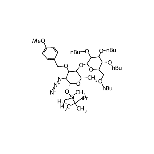 CCCCOCC1O[C@@H](OC2C(OCc3ccc(OC)cc3)C(N=[N+]=[N-])[C@@H](O[Si](C)(C)C(C)(C)C(C)C)O[C@H]2C)C(OCCCC)C(OCCCC)[C@@H]1OCCCC